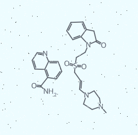 CN1CCN(C=CCS(=O)(=O)CCN2C(=O)Cc3ccccc32)CC1.NC(=O)c1cccc2ncccc12